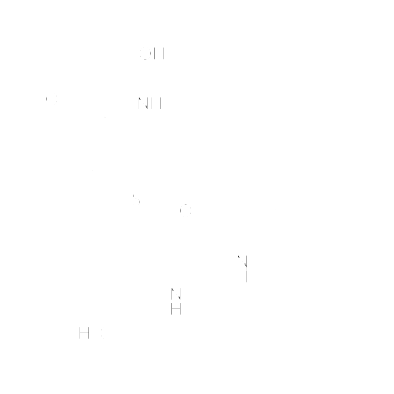 CC(NC(=O)NC1CCCCC1)c1ccc(C(=O)NO)s1